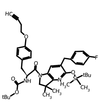 C#CCCOc1ccc(C[C@H](NC(=O)OC(C)(C)C)C(=O)N2CC(C)(C)c3nc(O[Si](C)(C)C(C)(C)C)c(Cc4ccc(F)cc4)cc32)cc1